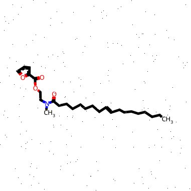 CCCCCCCCC=CCCCCCCCC(=O)N(C)CCOC(=O)c1ccco1